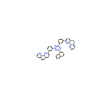 c1cc(-c2ccc3c(n2)-c2ncccc2CC3)cc(-c2nc(-c3cccc(-c4ccc5ccc6cccnc6c5n4)c3)nc(-c3cccc4ccccc34)n2)c1